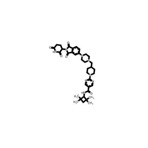 CC1(C)CC(C)(C)C1NC(=O)c1cnc(N2CCC(CN3CCN(c4ccc5c(c4)C(=O)N(C4CCC(=O)NC4=O)C5=O)CC3)CC2)nc1